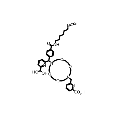 O=C(NCCCCCCN=C=S)c1ccc(C(c2cccc(C(O)O)n2)N2CCOCCOCCN(Cc3cccc(C(=O)O)n3)CCOCCOCC2)cc1